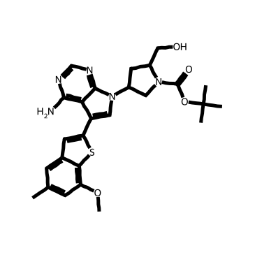 COc1cc(C)cc2cc(-c3cn(C4CC(CO)N(C(=O)OC(C)(C)C)C4)c4ncnc(N)c34)sc12